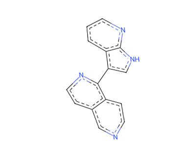 c1cnc2[nH]cc(-c3nccc4cnccc34)c2c1